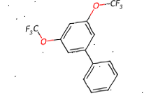 FC(F)(F)Oc1cc(OC(F)(F)F)cc(-c2cc[c]cc2)c1